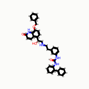 O=C(Nc1cccc(CCNC[C@H](O)c2ccc(OCc3ccccc3)c3[nH]c(=O)ccc23)c1)Nc1ccccc1-c1ccccc1